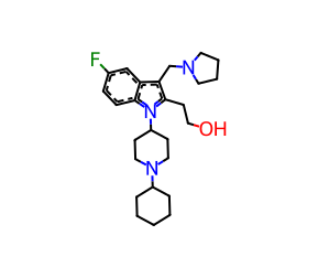 OCCc1c(CN2CCCC2)c2cc(F)ccc2n1C1CCN(C2CCCCC2)CC1